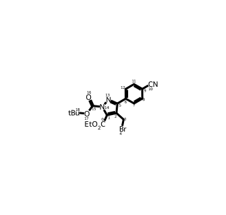 CCOC(=O)c1c(CBr)c(-c2ccc(C#N)cc2)nn1C(=O)OC(C)(C)C